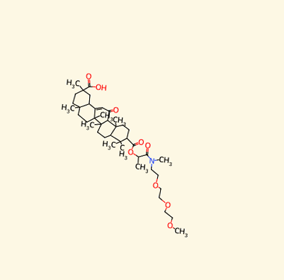 COCCOCCOCCN(C)C(=O)C(C)OC(=O)C1CCC2(C)C(CCC3(C)C2C(=O)C=C2C4CC(C)(C(=O)O)CCC4(C)CCC23C)C1(C)C